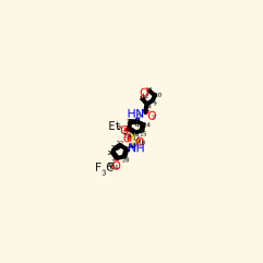 CCOc1cc(NC(=O)C2CCCOC2)ccc1S(=O)(=O)Nc1cccc(OC(F)(F)F)c1